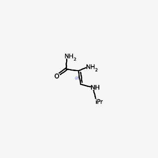 CC(C)N/C=C(\N)C(N)=O